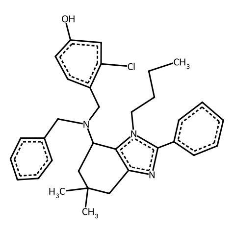 CCCCn1c(-c2ccccc2)nc2c1C(N(Cc1ccccc1)Cc1ccc(O)cc1Cl)CC(C)(C)C2